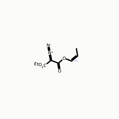 C/C=C\OC(=O)C(=[N+]=[N-])C(=O)OCC